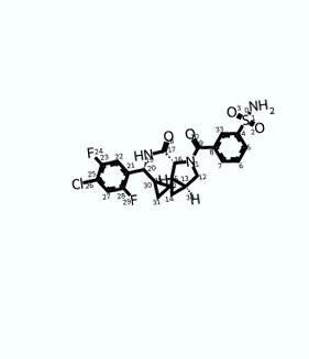 NS(=O)(=O)c1cccc(C(=O)N2C[C@H]3C[C@H]3[C@@H]2C(=O)N[C@@H](c2cc(F)c(Cl)cc2F)C2CC2)c1